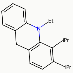 CCN1c2ccccc2Cc2ccc(C(C)C)c(C(C)C)c21